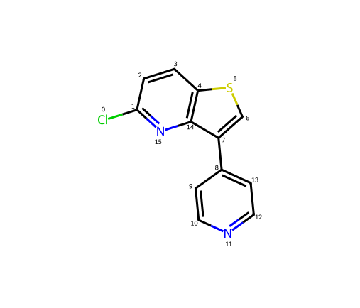 Clc1ccc2scc(-c3ccncc3)c2n1